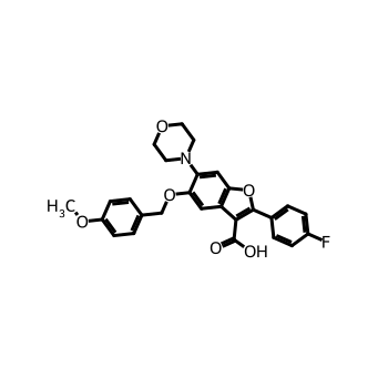 COc1ccc(COc2cc3c(C(=O)O)c(-c4ccc(F)cc4)oc3cc2N2CCOCC2)cc1